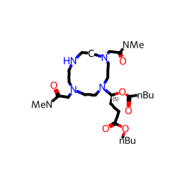 CCCCOC(=O)CC[C@H](OC(=O)CCCC)N1CCN(CC(=O)NC)CCNCCN(CC(=O)NC)CC1